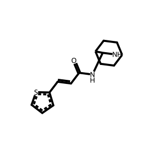 O=C(C=Cc1cccs1)NC1NC2CCC1CC2